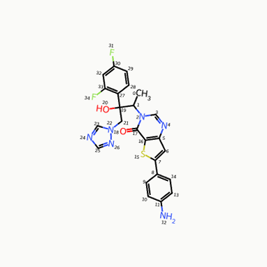 CC(n1cnc2cc(-c3ccc(N)cc3)sc2c1=O)C(O)(Cn1cncn1)c1ccc(F)cc1F